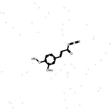 CCCCOc1ccc(/C=C/C(=O)N=C=S)cc1OC